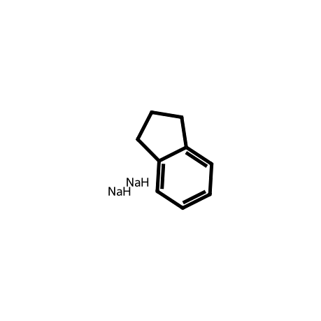 [NaH].[NaH].c1ccc2c(c1)CCC2